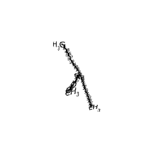 CCCCCCCCCCCCCCCCCCCCC(CCCCCCCCCCCCCCCCCCCC)C(=O)NCCCOCCOC